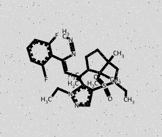 C=C(/C=C(\N=N/C)c1c(F)cccc1F)C1CCC(C)(CN(CC)S(=O)(=O)c2cnn(CC)c2C)C1(C)C